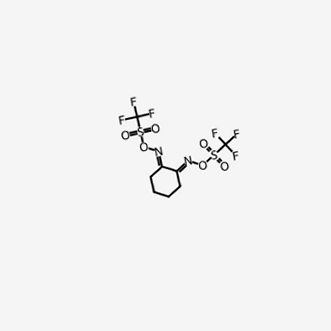 O=S(=O)(ON=C1CCCCC1=NOS(=O)(=O)C(F)(F)F)C(F)(F)F